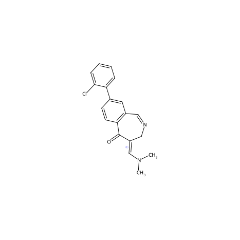 CN(C)/C=C1\CN=Cc2cc(-c3ccccc3Cl)ccc2C1=O